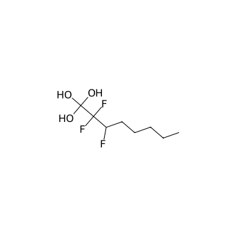 CCCCCC(F)C(F)(F)C(O)(O)O